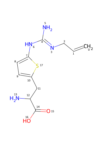 C=CCN=C(N)Nc1ccc(CC(N)C(=O)O)s1